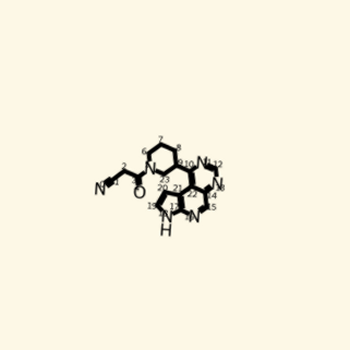 N#CCC(=O)N1CCCC(c2ncnc3cnc4[nH]ccc4c23)C1